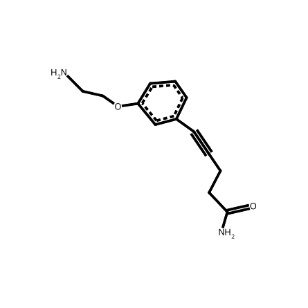 NCCOc1cccc(C#CCCC(N)=O)c1